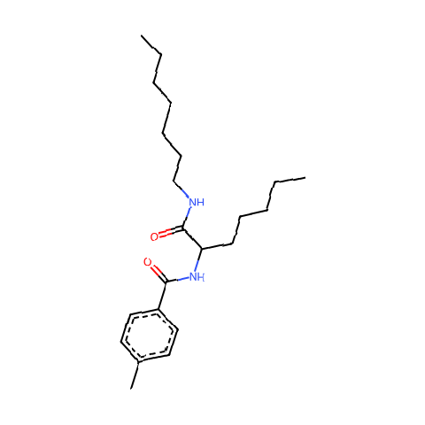 CCCCCCCNC(=O)C(CCCCC)NC(=O)c1ccc(C)cc1